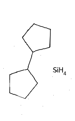 C1CCC(C2CCCC2)C1.[SiH4]